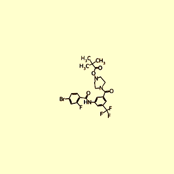 CC(C)(C)C(=O)ON1CCN(C(=O)c2cc(NC(=O)c3ccc(Br)cc3F)cc(C(F)(F)F)c2)CC1